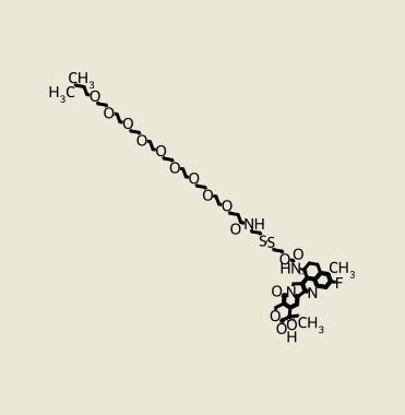 CC[C@@]1(O)C(=O)OCc2c1cc1n(c2=O)Cc2c-1nc1cc(F)c(C)c3c1c2[C@@H](NC(=O)OCCSSCCNC(=O)CCOCCOCCOCCOCCOCCOCCOCCOCCOCCC(C)C)CC3